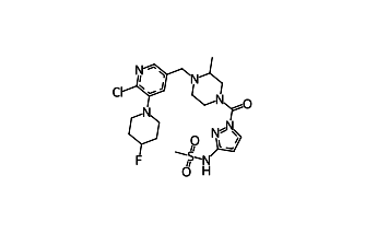 CC1CN(C(=O)n2ccc(NS(C)(=O)=O)n2)CCN1Cc1cnc(Cl)c(N2CCC(F)CC2)c1